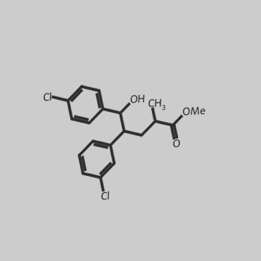 COC(=O)C(C)CC(c1cccc(Cl)c1)C(O)c1ccc(Cl)cc1